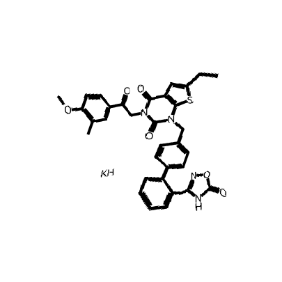 CCc1cc2c(=O)n(CC(=O)c3ccc(OC)c(C)c3)c(=O)n(Cc3ccc(-c4ccccc4-c4noc(=O)[nH]4)cc3)c2s1.[KH]